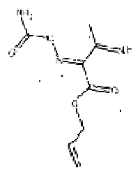 C=CCOC(=O)C(=NOC(N)=O)C(C)=N